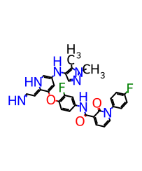 Cc1c(NC2=CN/C(=C\C=N)C(Oc3ccc(NC(=O)c4cccn(-c5ccc(F)cc5)c4=O)cc3F)=C2)cnn1C